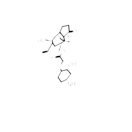 C=C[C@]1(C)C[C@@H](OC(=O)CSC2CC[C@@H](N)C[C@H]2O)[C@]2(C)[C@H](C)CC[C@]3(CCC(=O)[C@H]32)[C@@H](C)[C@@H]1O